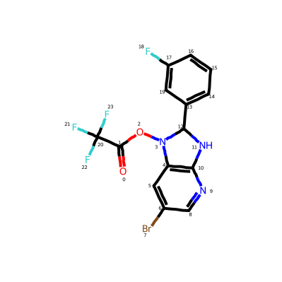 O=C(ON1c2cc(Br)cnc2NC1c1cccc(F)c1)C(F)(F)F